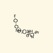 CC(C)c1cncc(S(=N)(=O)c2ccc(C(=O)Cc3cc(-c4ccc(F)cc4)ccc3N)cc2)c1